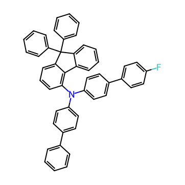 Fc1ccc(-c2ccc(N(c3ccc(-c4ccccc4)cc3)c3cccc4c3-c3ccccc3C4(c3ccccc3)c3ccccc3)cc2)cc1